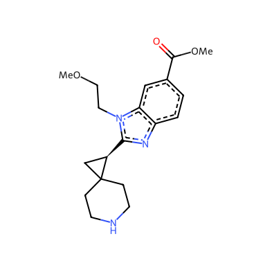 COCCn1c([C@@H]2CC23CCNCC3)nc2ccc(C(=O)OC)cc21